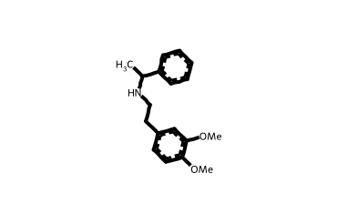 COc1ccc(CCNC(C)c2ccccc2)cc1OC